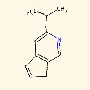 CC(C)c1cc2c(cn1)CC=C2